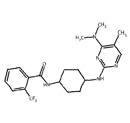 Cc1cnc(NC2CCC(NC(=O)c3ccccc3C(F)(F)F)CC2)nc1N(C)C